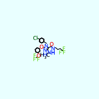 CNC1=C(C(=O)NCCCC(F)(F)F)N(Cc2ccc(Cl)cc2)C(Oc2cccc(OC(F)(F)F)c2)N1